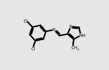 Cc1[nH]cnc1C=Nc1cc(Cl)cc(Cl)c1